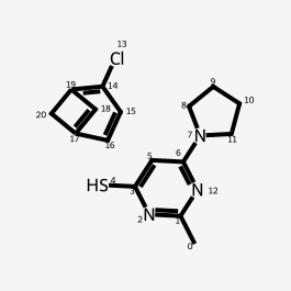 Cc1nc(S)cc(N2CCCC2)n1.Clc1ccc2cc1C2